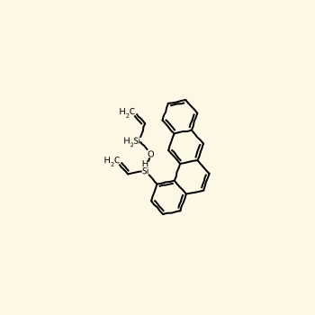 C=C[SiH2]O[SiH](C=C)c1cccc2ccc3cc4ccccc4cc3c12